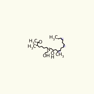 CC/C=C\C/C=C\C/C=C(/C)CC(O)CN(CCO)CCCCC(C)C(C)=O